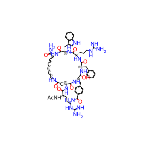 CC(=O)N[C@@H](CCCNC(=N)N)C(=O)N[C@H]1CC(=O)NCCCCC[C@@H](C(N)=O)NC(=O)[C@H](Cc2c[nH]c3ccccc23)NC(=O)[C@H](CCCNC(=N)N)NC(=O)[C@@H](Cc2ccccc2)NC(O)[C@H](Cc2ccc(C(N)=O)cc2)NC1=O